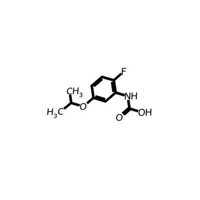 CC(C)Oc1ccc(F)c(NC(=O)O)c1